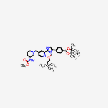 CC(C)(C)OC(=O)N[C@@H]1CCCN(Cc2ccnc(-c3ncc(-c4ccc(B5OC(C)(C)C(C)(C)O5)cc4)n3COCC[Si](C)(C)C)c2)C1